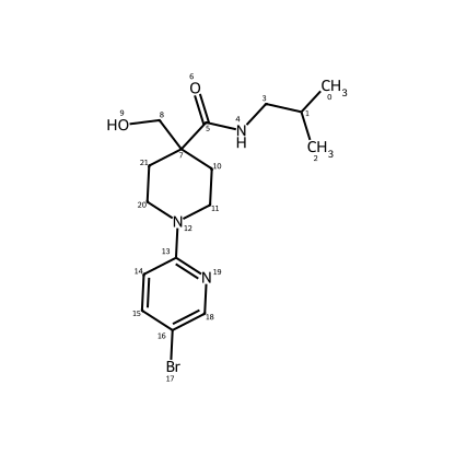 CC(C)CNC(=O)C1(CO)CCN(c2ccc(Br)cn2)CC1